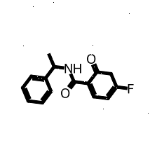 CC(NC(=O)C1=CC=C(F)CC1=O)c1ccccc1